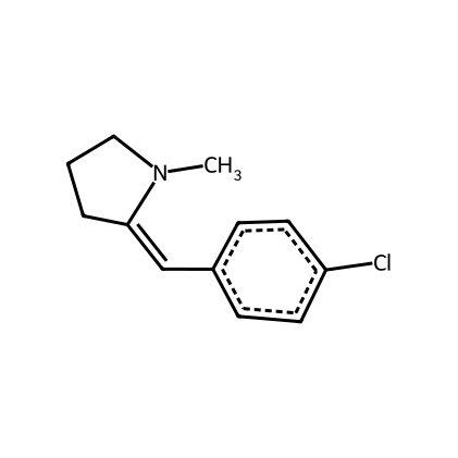 CN1CCCC1=Cc1ccc(Cl)cc1